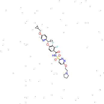 CC[C@@H](Oc1ccc(C(=O)NS(=O)(=O)c2ccc(OCCN3CCCC3)nn2)c(F)c1F)c1ccc(OCC2CC2)cn1